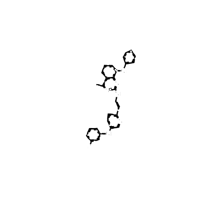 Cc1nc(N/C=C/c2ccc(Nc3cccc(C(F)(F)F)c3)cn2)nc2c(Nc3ccccc3)cccc12